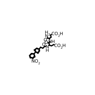 NC(=O)C(CCC(=O)O)NC(=O)C(CCC(=O)O)NC(=O)CCc1ccc(-c2cccc([N+](=O)[O-])c2)cc1